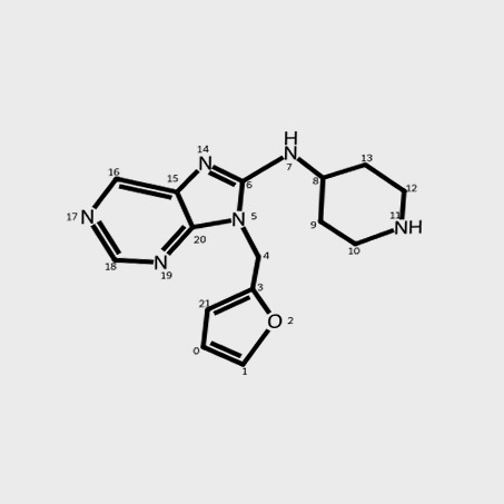 c1coc(Cn2c(NC3CCNCC3)nc3cncnc32)c1